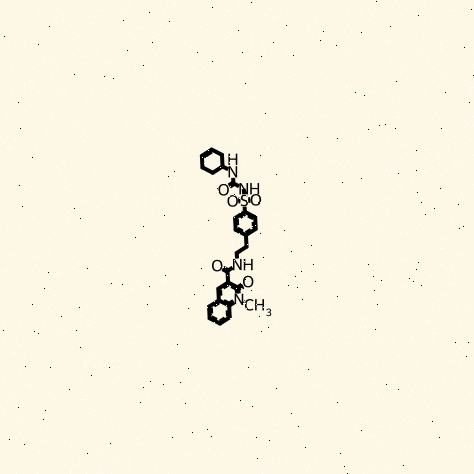 Cn1c(=O)c(C(=O)NCCc2ccc(S(=O)(=O)NC(=O)NC3CC=CCC3)cc2)cc2ccccc21